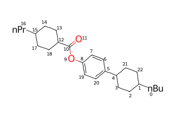 CCCCC1CCC(c2ccc(OC(=O)C3CCC(CCC)CC3)cc2)CC1